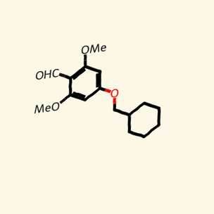 COc1cc(OCC2CCCCC2)cc(OC)c1C=O